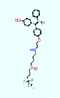 CC/C(=C(/c1ccc(O)cc1)c1ccc(OCCNCCCC[S+]([O-])CCCC(F)(F)C(F)(F)F)cc1)c1ccccc1